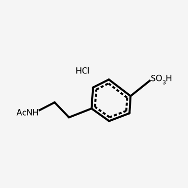 CC(=O)NCCc1ccc(S(=O)(=O)O)cc1.Cl